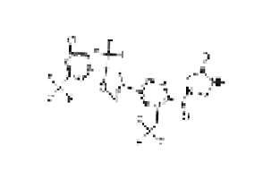 O=C1CN(C(=O)c2ccc(C3=NOC(c4cc(Cl)cc(C(F)(F)F)c4)(C(F)(F)F)C3)cc2CC(F)(F)F)CN1